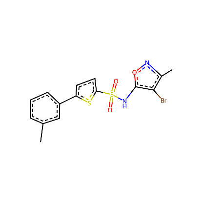 Cc1cccc(-c2ccc(S(=O)(=O)Nc3onc(C)c3Br)s2)c1